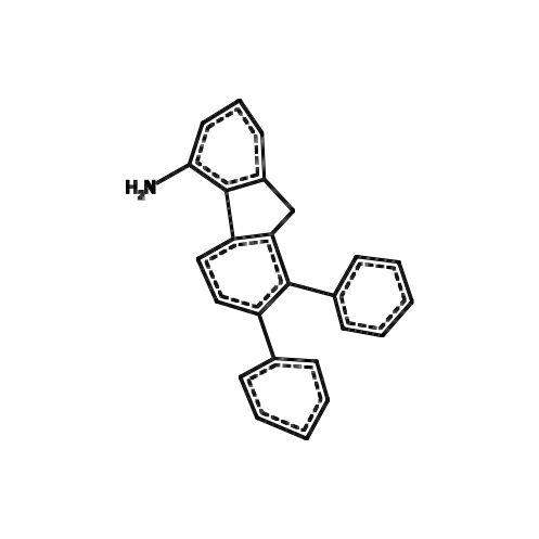 Nc1cccc2c1-c1ccc(-c3ccccc3)c(-c3ccccc3)c1C2